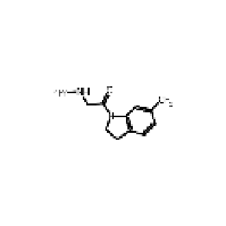 CCCNCC(=O)N1CCc2ccc(C(F)(F)F)cc21